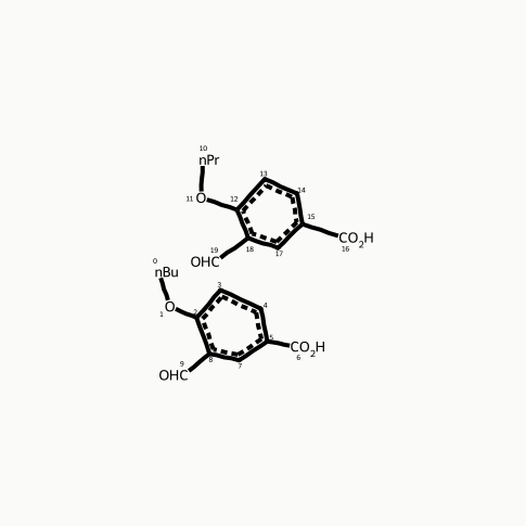 CCCCOc1ccc(C(=O)O)cc1C=O.CCCOc1ccc(C(=O)O)cc1C=O